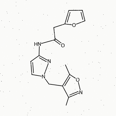 Cc1noc(C)c1Cn1ccc(NC(=O)Cc2ccco2)n1